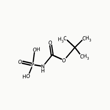 CC(C)(C)OC(=O)NP(=O)(O)O